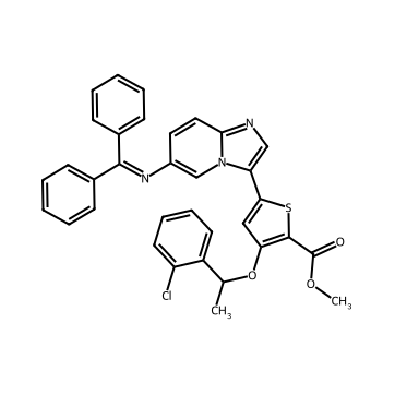 COC(=O)c1sc(-c2cnc3ccc(N=C(c4ccccc4)c4ccccc4)cn23)cc1OC(C)c1ccccc1Cl